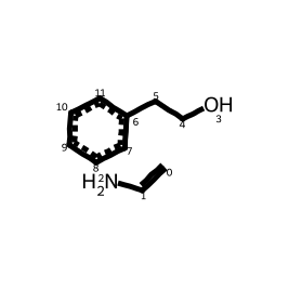 C=CN.OCCc1ccccc1